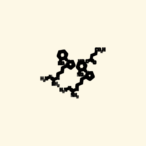 NN=C(N)N=CC=Cc1cccn1-c1ccccc1[N+](=O)[O-].NN=C(N)N=CC=Cc1cccn1-c1ccccc1[N+](=O)[O-].O=C(O)CCC(=O)C(=O)O